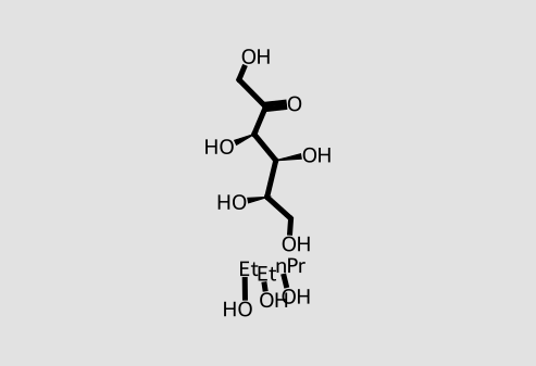 CCCO.CCO.CCO.O=C(CO)[C@H](O)[C@@H](O)[C@H](O)CO